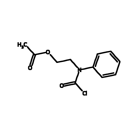 CC(=O)OCCN(C(=O)Cl)c1ccccc1